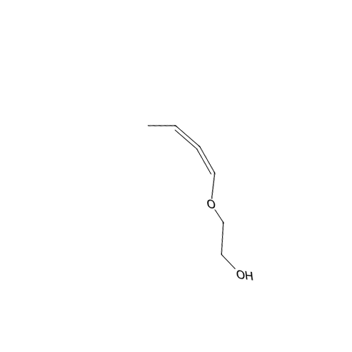 CC=C=COCCO